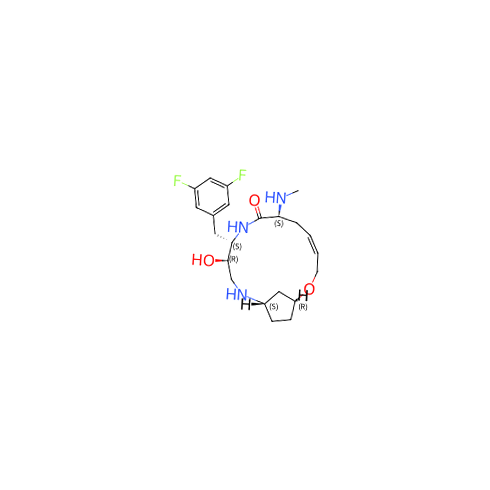 CN[C@H]1CC=CCO[C@@H]2CC[C@@H](C2)NC[C@@H](O)[C@H](Cc2cc(F)cc(F)c2)NC1=O